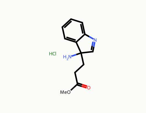 COC(=O)CCC1(N)C=Nc2ccccc21.Cl